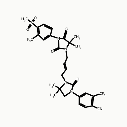 CC1(C)CN(c2ccc(C#N)c(C(F)(F)F)c2)C(=O)N1CC=CCN1C(=O)N(c2ccc(S(C)(=O)=O)c(C(F)(F)F)c2)C(=O)C1(C)C